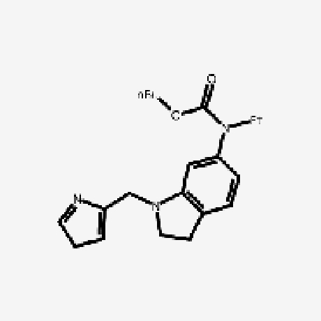 CCCCOC(=O)N(CC)c1ccc2c(c1)N(CC1=CCC=N1)CC2